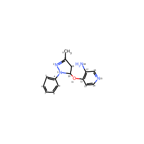 CC1=NN(c2ccccc2)C(Oc2ccncc2N)C1